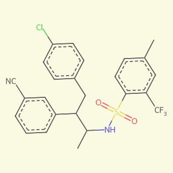 Cc1ccc(S(=O)(=O)NC(C)C(Cc2ccc(Cl)cc2)c2cccc(C#N)c2)c(C(F)(F)F)c1